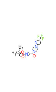 CC(C)(C)OC(=O)N1CC(C(=O)N2CCN(c3ccc(C(F)(F)F)cn3)CC2)C1